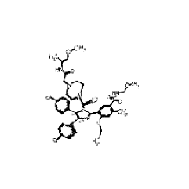 CCOc1cc(C)c(S(=O)(=O)NCOC)cc1C1=N[C@@H](c2ccc(Cl)cc2)[C@@H](c2ccc(Cl)cc2)N1C(=O)N1CCN(CC(=O)NC(C)COC)CC1